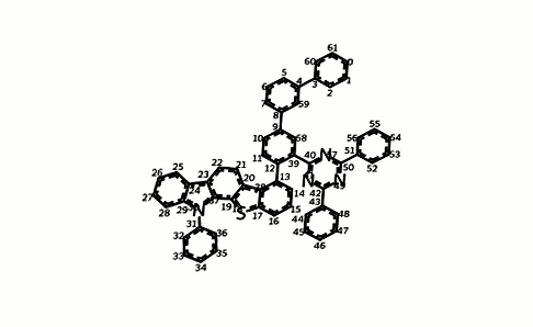 c1ccc(-c2cccc(-c3ccc(-c4cccc5sc6c(ccc7c8ccccc8n(-c8ccccc8)c76)c45)c(-c4nc(-c5ccccc5)nc(-c5ccccc5)n4)c3)c2)cc1